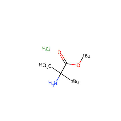 CCCCC(N)(C(=O)O)C(=O)OC(C)(C)C.Cl